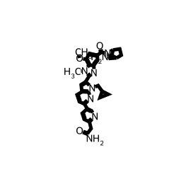 COc1cc(C(=O)N2CC3CCC2C3N)cc2nc(-c3cc4ccc(-c5ccc(CC(N)=O)nc5)nc4n3CC3CC3)n(C)c12